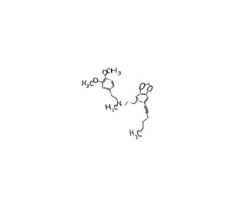 CCCCC#Cc1cc2c(cc1CCCN(C)CCc1ccc(OC)c(OC)c1)OCO2